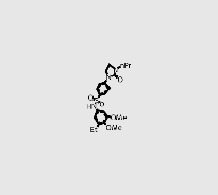 CCCN1CCN(c2ccc(S(=O)(=O)Nc3cc(CC)c(OC)c(OC)c3)cc2)C1=O